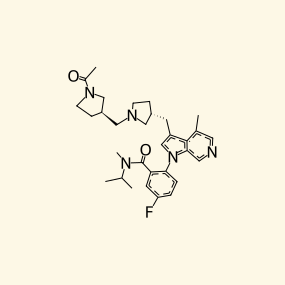 CC(=O)N1CC[C@H](CN2CC[C@H](Cc3cn(-c4ccc(F)cc4C(=O)N(C)C(C)C)c4cncc(C)c34)C2)C1